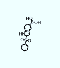 O=S(=O)(c1ccccc1)c1cc2cc(B(O)O)ccc2[nH]1